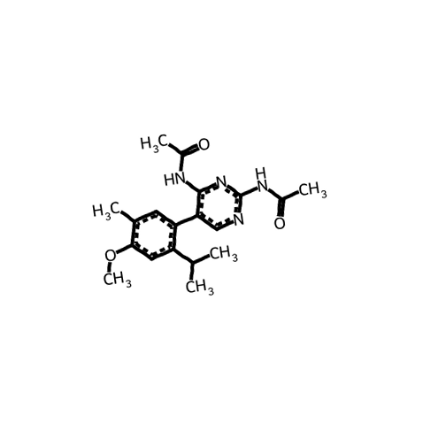 COc1cc(C(C)C)c(-c2cnc(NC(C)=O)nc2NC(C)=O)cc1C